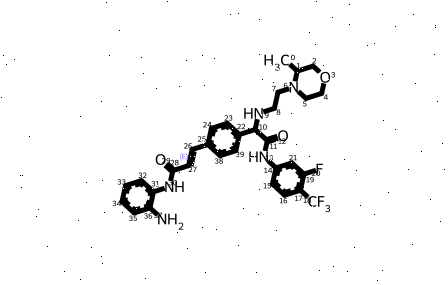 CC1COCCN1CCNC(C(=O)Nc1ccc(C(F)(F)F)c(F)c1)c1ccc(/C=C/C(=O)Nc2ccccc2N)cc1